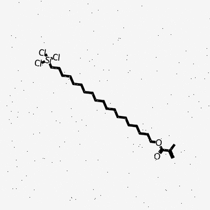 C=C(C)C(=O)OCCCCCCCCCCCCCCCCCCC[Si](Cl)(Cl)Cl